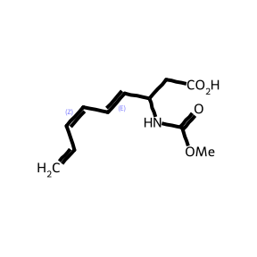 C=C/C=C\C=C\C(CC(=O)O)NC(=O)OC